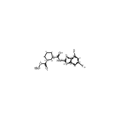 CC(C)(C)OC(=O)N1CCC[C@@H](C(=O)Nc2nc3c(F)cc(F)cc3s2)C1